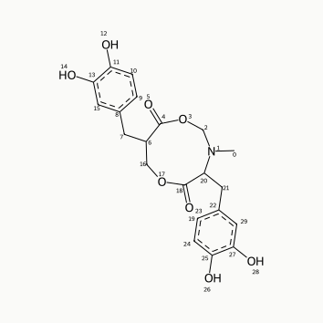 CN1COC(=O)C(Cc2ccc(O)c(O)c2)COC(=O)C1Cc1ccc(O)c(O)c1